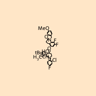 COc1ccc(CN2C(=O)CCc3c(OCC4(O)CCN(c5ccc(F)cc5Cl)CC4O[Si](C)(C)C(C)(C)C)cc(F)c(F)c32)cc1